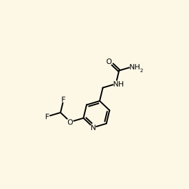 NC(=O)NCc1ccnc(OC(F)F)c1